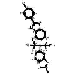 CC1=Nc2cc(C(c3ccc4c(c3)N=C(c3ccc(C)cc3)C4)(C(F)(F)F)C(F)(F)F)ccc2C1